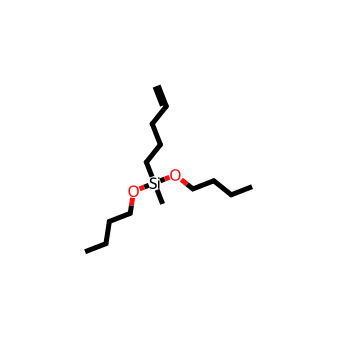 C=CCCC[Si](C)(OCCCC)OCCCC